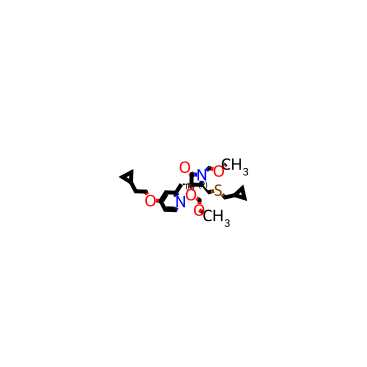 COCO[C@@]1(Cc2cc(OCCC3CC3)ccn2)C(=O)N(COC)[C@H]1CSCC1CC1